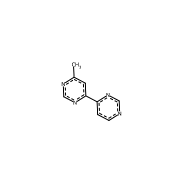 Cc1cc(-c2ccncn2)ncn1